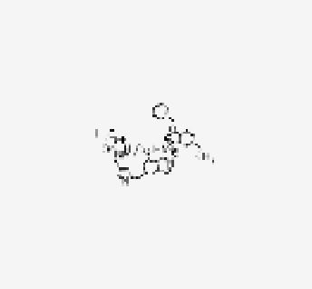 C=C(F)C(=O)NCc1cnn(Cc2cc(OC)c3c(NS(=O)(=O)c4cc(CC)ccc4OCc4ccccc4)noc3c2)c1